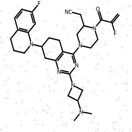 C=C(F)C(=O)N1CCN(c2nc(N3CC(N(C)C)C3)nc3c2CCC(N2CCCc4ccc(F)cc42)C3)CC1CC#N